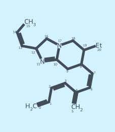 C=C/C=C\C(=C)/C=C\C1CC2=NC(/C=C\C)CN2CC1CC